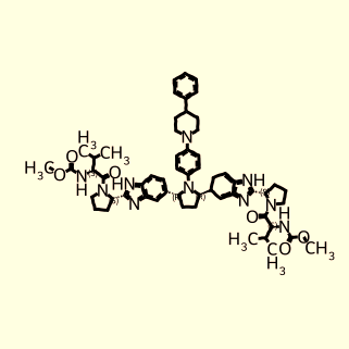 COC(=O)N[C@H](C(=O)N1CCC[C@H]1c1nc2c([nH]1)=CCC([C@H]1CC[C@H](c3ccc4[nH]c([C@@H]5CCCN5C(=O)[C@@H](NC(=O)OC)C(C)C)nc4c3)N1c1ccc(N3CCC(c4ccccc4)CC3)cc1)C=2)C(C)C